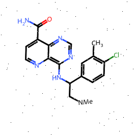 CNCC(Nc1ncnc2c(C(N)=O)ccnc12)c1ccc(Cl)c(C)c1